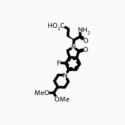 COC(OC)C1CCN(c2ccc3c(c2F)CN([C@@H](CCC(=O)O)C(N)=O)C3=O)CC1